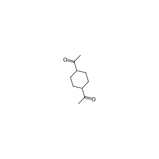 CC(=O)C1CCC(C(C)=O)CC1